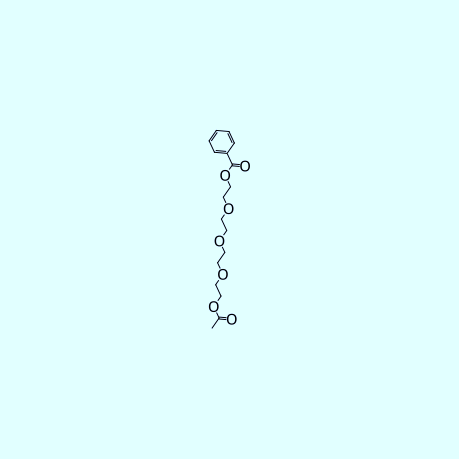 CC(=O)OCCOCCOCCOCCOC(=O)c1ccccc1